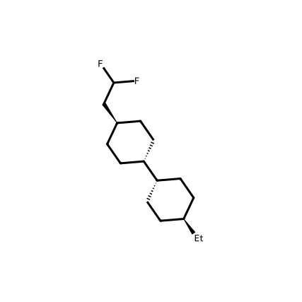 CC[C@H]1CC[C@H]([C@H]2CC[C@H](CC(F)F)CC2)CC1